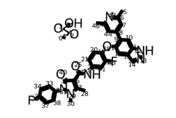 CS(=O)(=O)O.Cc1cc(-c2cc3[nH]ncc3cc2Oc2ccc(NC(=O)c3c(C)n(C)n(-c4ccc(F)cc4)c3=O)cc2F)cc(C)n1